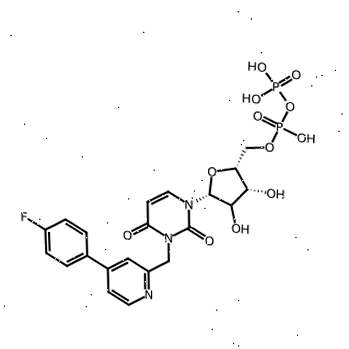 O=c1ccn([C@@H]2O[C@H](COP(=O)(O)OP(=O)(O)O)[C@H](O)C2O)c(=O)n1Cc1cc(-c2ccc(F)cc2)ccn1